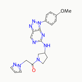 COc1ccc(-n2nnc3cnc(NC4CCN(C(=O)Cn5cccn5)C4)nc32)cc1